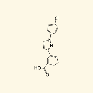 O=C(O)C1=CC(c2ccn(-c3ccc(Cl)cc3)n2)=CCC1